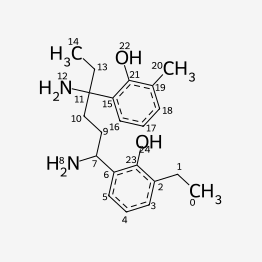 CCc1cccc(C(N)CCC(N)(CC)c2cccc(C)c2O)c1O